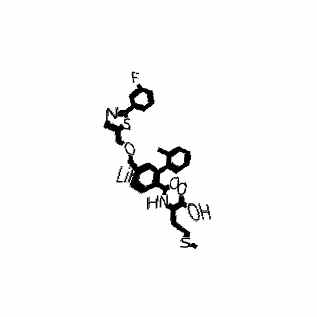 CSCCC(NC(=O)c1ccc(COCc2cnc(-c3cccc(F)c3)s2)cc1-c1ccccc1C)C(=O)O.[LiH]